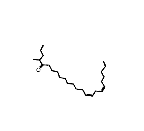 CCCCC/C=C\C/C=C\CCCCCCCCCC(=O)C(C)CCC